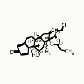 C=C1C[C@H]2[C@@H]3CCC4=CC(=O)C=C[C@]4(C)[C@@]3(F)[C@@H](O)C[C@]2(C)[C@@]1(OC(=O)CC)C(=O)SCCl